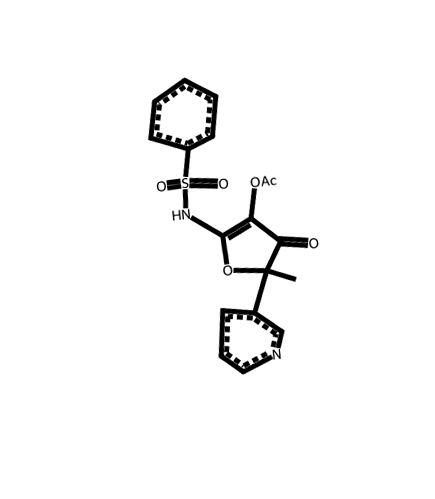 CC(=O)OC1=C(NS(=O)(=O)c2ccccc2)OC(C)(c2cccnc2)C1=O